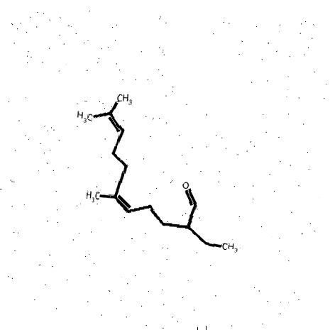 CCC(C=O)CCC=C(C)CCC=C(C)C